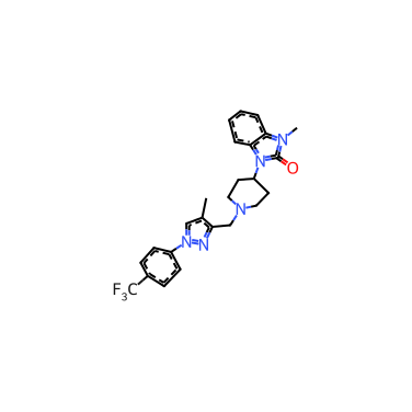 Cc1cn(-c2ccc(C(F)(F)F)cc2)nc1CN1CCC(n2c(=O)n(C)c3ccccc32)CC1